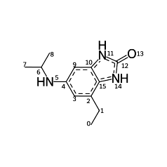 CCc1cc(NC(C)C)cc2[nH]c(=O)[nH]c12